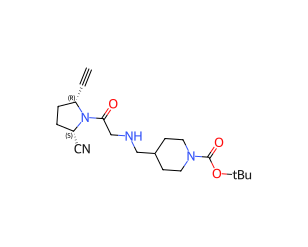 C#C[C@H]1CC[C@@H](C#N)N1C(=O)CNCC1CCN(C(=O)OC(C)(C)C)CC1